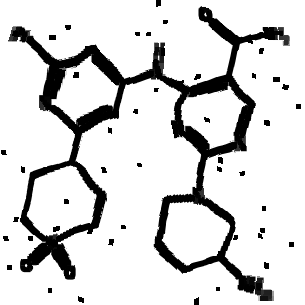 CC(C)c1cc(Nc2nc(N3CCCC(N)C3)ncc2C(N)=O)cc(C2CCS(=O)(=O)CC2)n1